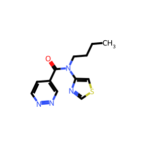 CCCCN(C(=O)c1ccnnc1)c1cscn1